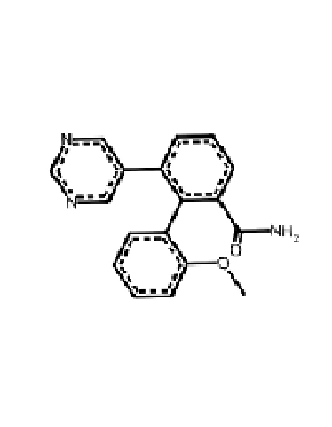 COc1ccccc1-c1c(C(N)=O)cccc1-c1cncnc1